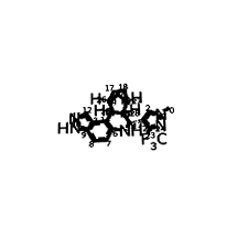 Cn1cc([C@@H]2Nc3ccc4[nH]ncc4c3[C@H]3[C@@H]4CC[C@H](C4)[C@H]32)c(C(F)(F)F)n1